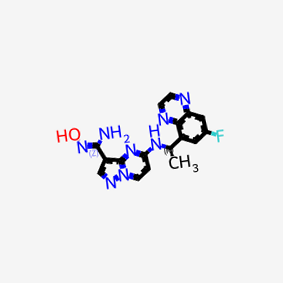 C[C@@H](Nc1ccn2ncc(/C(N)=N/O)c2n1)c1cc(F)cc2nccnc12